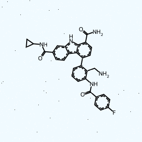 NCc1c(NC(=O)c2ccc(F)cc2)cccc1-c1ccc(C(N)=O)c2[nH]c3cc(C(=O)NC4CC4)ccc3c12